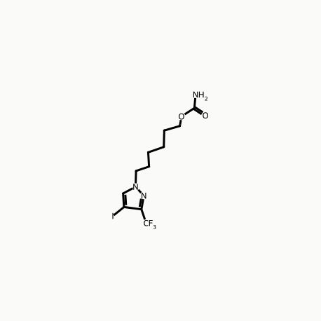 NC(=O)OCCCCCCn1cc(I)c(C(F)(F)F)n1